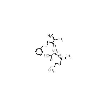 C=C(C)C(=O)O.C=C(C)C(=O)OCCc1ccccc1.C=CC(=O)OCCCC